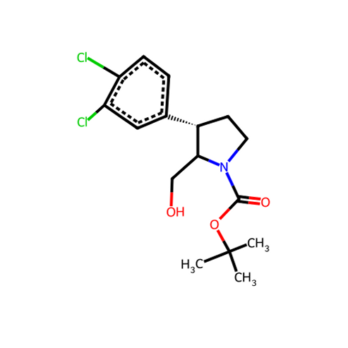 CC(C)(C)OC(=O)N1CC[C@@H](c2ccc(Cl)c(Cl)c2)C1CO